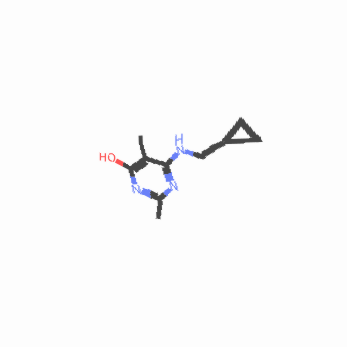 Cc1nc(O)c(C)c(NCC2CC2)n1